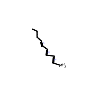 CCC/C=C/C=C/C=C/N